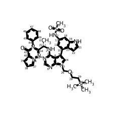 C[C@H](Nc1ncnc2c1c(-c1cc(NS(C)(=O)=O)cc3[nH]ccc13)cn2COCC[Si](C)(C)C)c1nn2cccc2c(=O)n1-c1ccccc1